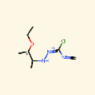 C=N/C(Cl)=N\NC(C)[C@@H](C)OCC